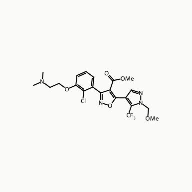 COCn1ncc(-c2onc(-c3cccc(OCCN(C)C)c3Cl)c2C(=O)OC)c1C(F)(F)F